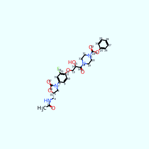 CC(=O)NC[C@H]1CN(c2ccc(OCC(O)C(=O)N3CCN(C(=O)Oc4ccccc4)CC3)c(F)c2)C(=O)O1